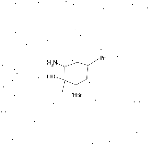 Br.CC(C)C1CCC(C)(O)C(N)C1